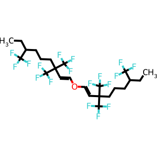 CCC(CCCC(C=COC=CC(CCCC(CC)C(F)(F)F)(C(F)(F)F)C(F)(F)F)(C(F)(F)F)C(F)(F)F)C(F)(F)F